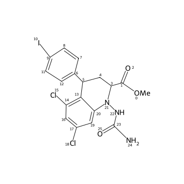 COC(=O)C1CC(c2ccc(I)cc2)c2c(Cl)cc(Cl)cc2N1NC(N)=O